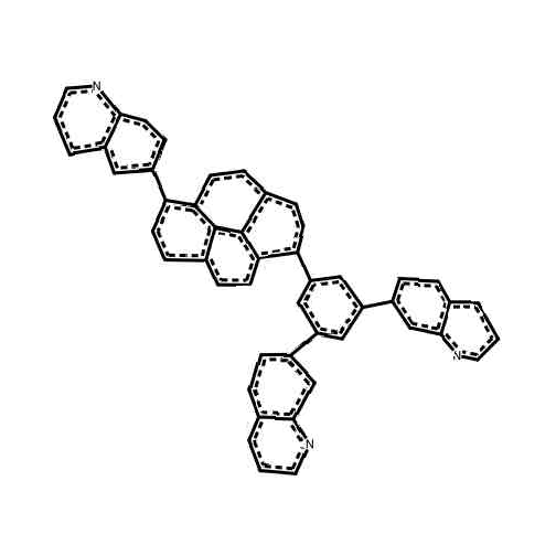 c1cnc2ccc(-c3ccc4ccc5c(-c6cc(-c7ccc8cccnc8c7)cc(-c7ccc8cccnc8c7)c6)ccc6ccc3c4c65)cc2c1